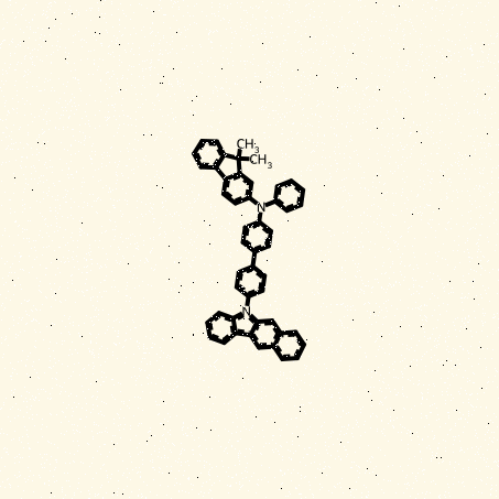 CC1(C)c2ccccc2-c2ccc(N(c3ccccc3)c3ccc(-c4ccc(-n5c6ccccc6c6cc7ccccc7cc65)cc4)cc3)cc21